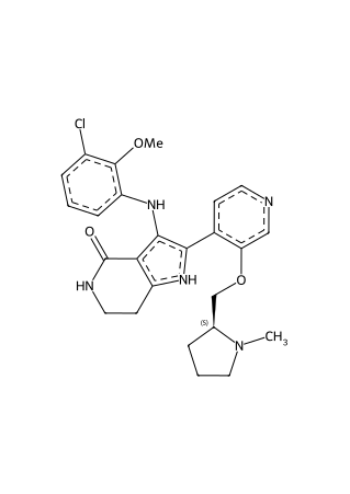 COc1c(Cl)cccc1Nc1c(-c2ccncc2OC[C@@H]2CCCN2C)[nH]c2c1C(=O)NCC2